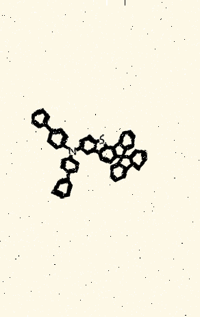 c1ccc(-c2ccc(N(c3ccc(-c4ccccc4)cc3)c3ccc4sc5c6c(ccc5c4c3)C3(c4ccccc4-c4ccccc43)c3ccccc3-6)cc2)cc1